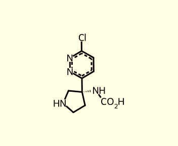 O=C(O)N[C@]1(c2ccc(Cl)nn2)CCNC1